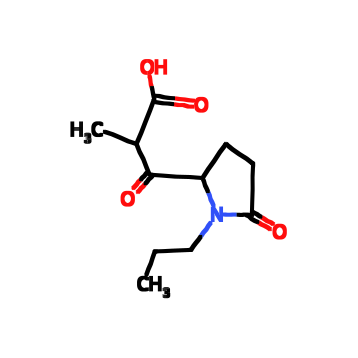 CCCN1C(=O)CCC1C(=O)C(C)C(=O)O